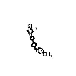 CN1CCCN(Cc2ccc(-c3ccc(N4CCN(C)CC4)cc3)cc2)CC1